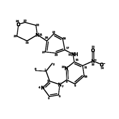 CC(C)c1nccn1-c1ccc([N+](=O)[O-])c(Nc2ccc(N3CCOCC3)cc2)n1